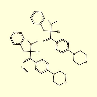 C=O.CCC(Cc1ccccc1)(C(=O)c1ccc(N2CCOCC2)cc1)N(C)C.CCC(Cc1ccccc1)(C(=O)c1ccc(N2CCOCC2)cc1)N(C)C